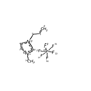 C=CCn1cc[n+](C)c1.F[P-](F)(F)(F)(F)F